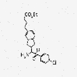 CCOC(=O)CCCc1ccc2c(c1)CC(C(N)S(=O)(=O)c1ccc(Cl)cc1)C2